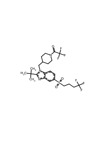 CC(C)(C)c1nc2cc(S(=O)(=O)CCCC(F)(F)F)ccc2n1CC1CCN(C(=O)C(F)(F)F)CC1